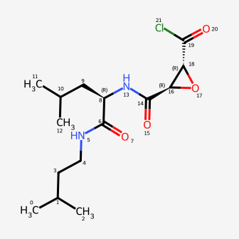 CC(C)CCNC(=O)[C@@H](CC(C)C)NC(=O)[C@@H]1O[C@H]1C(=O)Cl